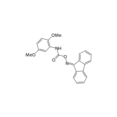 COc1ccc(OC)c(NC(=O)ON=C2c3ccccc3-c3ccccc32)c1